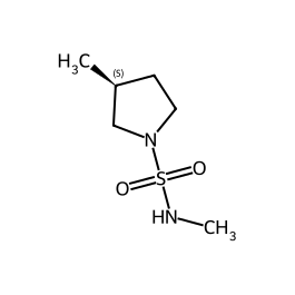 CNS(=O)(=O)N1CC[C@H](C)C1